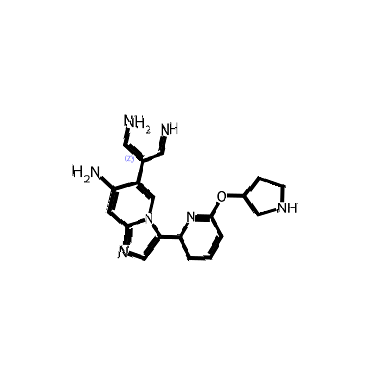 N=C/C(=C\N)c1cn2c(C3CC=CC(OC4CCNC4)=N3)cnc2cc1N